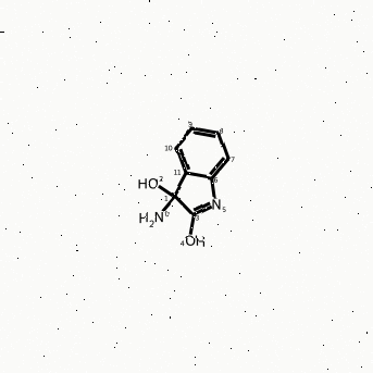 NC1(O)C(O)=Nc2ccccc21